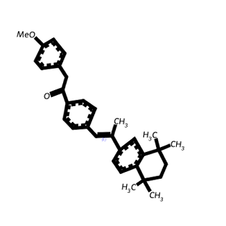 COc1ccc(CC(=O)c2ccc(/C=C(\C)c3ccc4c(c3)C(C)(C)CCC4(C)C)cc2)cc1